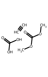 C#C.COC(=O)OC.O=C(O)O